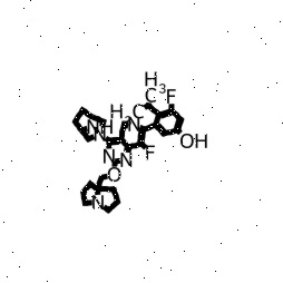 CC(C)c1c(F)cc(O)cc1-c1ncc2c(N3CC4CCC(C3)N4)nc(OCC34CCCN3CCC4)nc2c1F